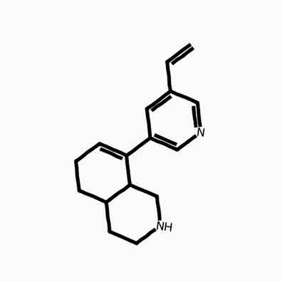 C=Cc1cncc(C2=CCCC3CCNCC23)c1